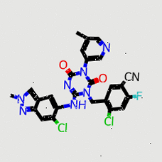 Cc1cncc(-n2c(=O)nc(Nc3cc4cn(C)nc4cc3Cl)n(Cc3cc(C#N)c(F)cc3Cl)c2=O)c1